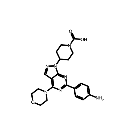 Nc1ccc(-c2nc(N3CCOCC3)c3cnn(C4CCN(C(=O)O)CC4)c3n2)cc1